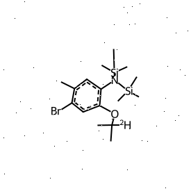 [2H]C(C)(C)Oc1cc(Br)c(C)cc1N([Si](C)(C)C)[Si](C)(C)C